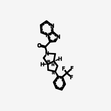 O=C(c1cnc2ncccn12)N1C[C@H]2C[C@@H](c3ccccc3C(F)(F)F)C[C@H]2C1